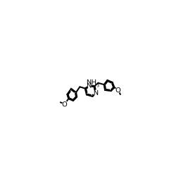 COc1ccc(Cc2ccnc(Cc3ccc(OC)cc3)n2)cc1.N